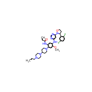 C=CCN1CCN(C2CCN(c3cc(OC)c(Nc4cc(N5OCCC5c5cc(F)ccc5F)ncn4)cc3NC(=O)C=C)CC2)CC1